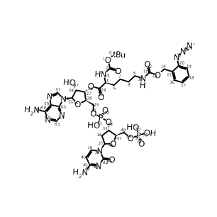 CC(C)(C)OC(=O)N[C@@H](CCCCNC(=O)OCc1ccccc1N=[N+]=[N-])C(=O)O[C@@H]1[C@@H](COP(=O)(O)O[C@H]2CC(n3ccc(N)nc3=O)O[C@@H]2COP(=O)(O)O)OC(n2cnc3c(N)ncnc32)[C@@H]1O